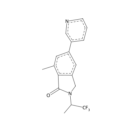 Cc1cc(-c2cccnc2)cc2c1C(=O)N(C(C)C(F)(F)F)C2